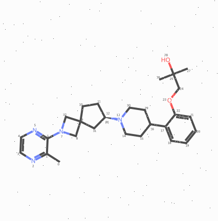 Cc1nccnc1N1CC2(CC[C@@H](N3CCC(c4ccccc4OCC(C)(C)O)CC3)C2)C1